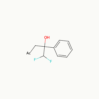 CC(=O)CC(O)(c1ccccc1)C(F)F